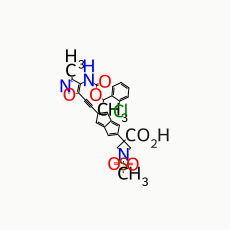 Cc1noc(C#CC2=CC3=CC(C4(C(=O)O)CN(S(C)(=O)=O)C4)=CC3=C2)c1NC(=O)OC(C)c1ccccc1Cl